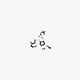 C#CCN1C(=O)COc2cc(F)c(/N=c3\snc4n3CC(C)(C)C4)cc21.O=C(O)c1nc(Cl)ccc1Cl